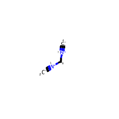 [C-]#[N+]C[N+]#[C-]